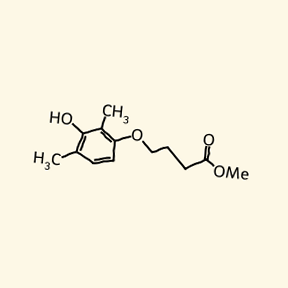 COC(=O)CCCOc1ccc(C)c(O)c1C